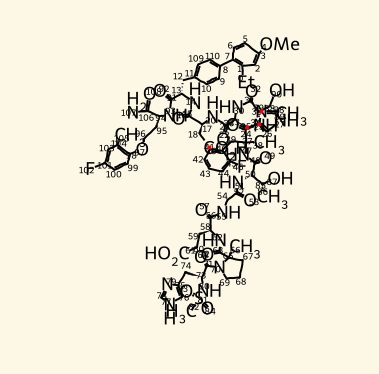 CCc1cc(OC)ccc1-c1ccc(C[C@H](NC(=O)[C@H](CC(=O)O)NC(=O)[C@H](Cc2c[nH]cn2)NC(=O)[C@@H](NC(=O)C(C)(Cc2ccccc2F)NC(=O)[C@@H](NC(=O)CNC(=O)[C@H](CCC(=O)O)NC(=O)C2(C)CCCN2C(=O)[C@H](Cc2c[nH]cn2)NS(C)(=O)=O)[C@@H](C)O)[C@@H](C)O)C(=O)N[C@@H](CCOc2ccc(F)cc2C)C(N)=O)cc1